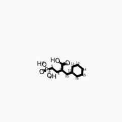 O=C(O)C(CCP(=O)(O)O)CC1CCCCC1